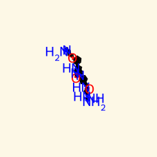 CN(N)CCCOc1cccc(-c2cc3cn(-c4ccc(CNC(=O)CCNC(=N)N)cc4)c(=O)nc3[nH]2)c1